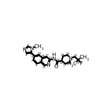 Cn1cncc1-c1ccc2cnc(NC(=O)C3CCN(CC(C)(C)F)CC3)cc2c1